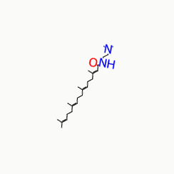 CC(C)=CCC/C(C)=C/CC/C(C)=C/CC/C(C)=C/C(=O)NCCN(C)C